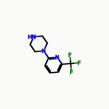 FC(F)(F)c1cccc(N2CCNCC2)n1